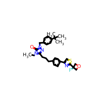 CCn1c(CCCc2ccc(-c3csc(C4(F)COC4)n3)cc2)nn(Cc2ccc(C(C)(C)C)cc2)c1=O